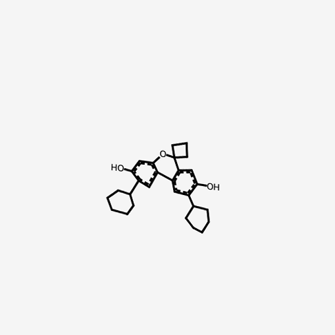 Oc1cc2c(cc1C1CCCCC1)-c1cc(C3CCCCC3)c(O)cc1C1(CCC1)O2